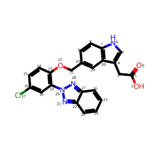 O=C(O)Cc1c[nH]c2ccc(COc3ccc(Cl)cc3-n3nc4ccccc4n3)cc12